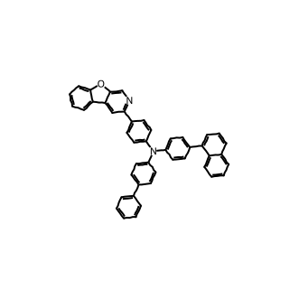 c1ccc(-c2ccc(N(c3ccc(-c4cc5c(cn4)oc4ccccc45)cc3)c3ccc(-c4cccc5ccccc45)cc3)cc2)cc1